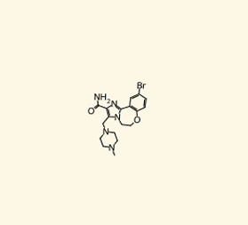 CN1CCN(Cc2c(C(N)=O)nc3n2CCOc2ccc(Br)cc2-3)CC1